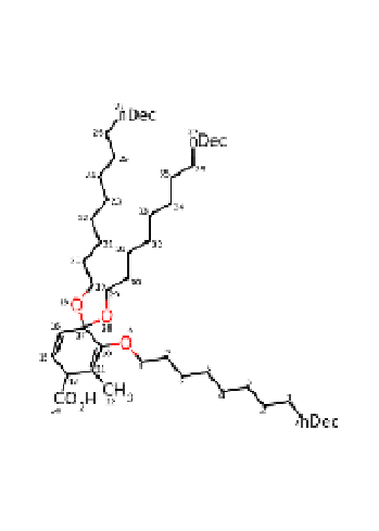 CCCCCCCCCCCCCCCCCCOC1=C(C)C(C(=O)O)C=CC1(OCCCCCCCCCCCCCCCCCC)OCCCCCCCCCCCCCCCCCC